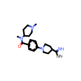 CCCC(=N)C1CCN(c2ccc(C(=O)N(C)C3CCN(C)CC3)cc2)CC1